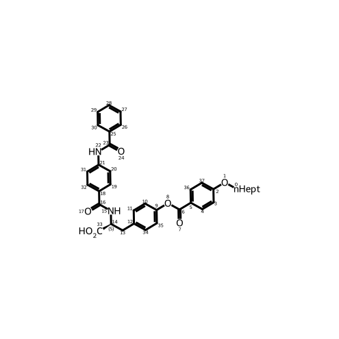 CCCCCCCOc1ccc(C(=O)Oc2ccc(C[C@H](NC(=O)c3ccc(NC(=O)c4ccccc4)cc3)C(=O)O)cc2)cc1